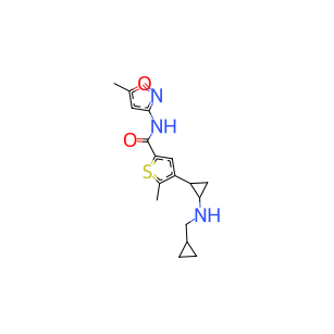 Cc1cc(NC(=O)c2cc(C3CC3NCC3CC3)c(C)s2)no1